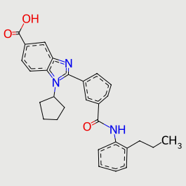 CCCc1ccccc1NC(=O)c1cccc(-c2nc3cc(C(=O)O)ccc3n2C2CCCC2)c1